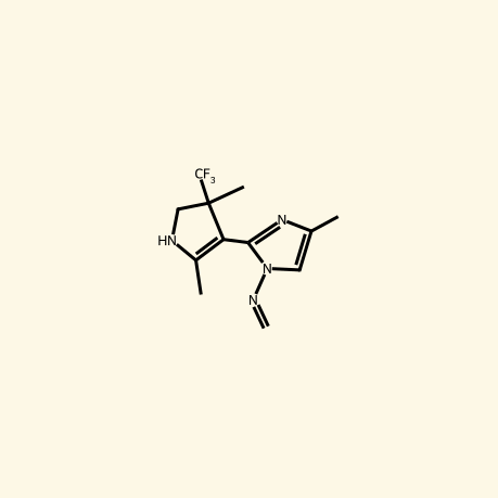 C=Nn1cc(C)nc1C1=C(C)NCC1(C)C(F)(F)F